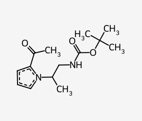 CC(=O)c1cccn1C(C)CNC(=O)OC(C)(C)C